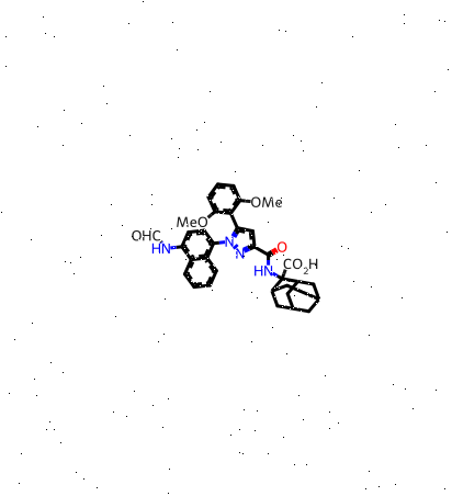 COc1cccc(OC)c1-c1cc(C(=O)NC2(C(=O)O)C3CC4CC(C3)CC2C4)nn1-c1ccc(NC=O)c2ccccc12